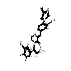 Cc1cn(-c2ccc(/C=C3\O[C@@H](C)CN([C@H](c4cc(F)c(F)c(F)c4)[C@@H](C)O)C3=O)cc2F)cn1